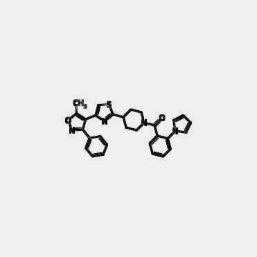 Cc1onc(-c2ccccc2)c1-c1csc(C2CCN(C(=O)c3ccccc3-n3cccc3)CC2)n1